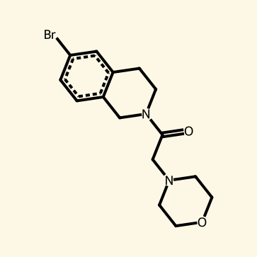 O=C(CN1CCOCC1)N1CCc2cc(Br)ccc2C1